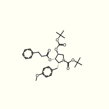 COc1ccc(C[C@@H]2[C@H](OC(=O)CCc3ccccc3)[C@@H](OC(=O)OC(C)(C)C)CN2C(=O)OC(C)(C)C)cc1